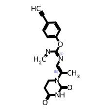 C#Cc1ccc(O/C(N=C)=N/C=C(\C)N2CCC(=O)NC2=O)cc1